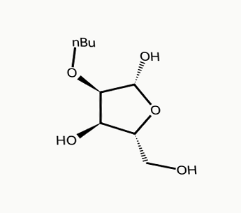 CCCCO[C@@H]1[C@H](O)[C@@H](CO)O[C@H]1O